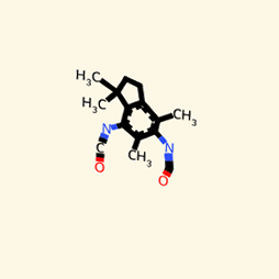 Cc1c2c(c(N=C=O)c(C)c1N=C=O)C(C)(C)CC2